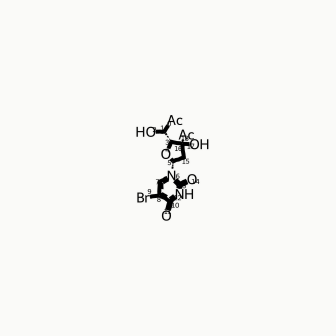 CC(=O)C(O)[C@H]1O[C@@H](n2cc(Br)c(=O)[nH]c2=O)C[C@@]1(O)C(C)=O